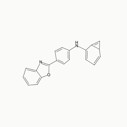 C1=CC2C=C2C(Nc2ccc(-c3nc4ccccc4o3)cc2)=C1